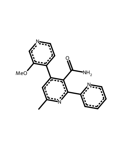 COc1cnccc1-c1cc(C)nc(-c2ccccn2)c1C(N)=O